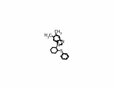 Cc1cc2ncn(C3CCCCC3Sc3ccccc3)c2cc1C